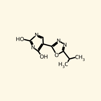 CC(C)c1nnc(-c2cnc(O)nc2O)o1